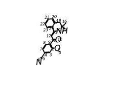 COc1cc(C#N)ccc1C(=O)C=C1NC(C)(C)Cc2ccccc21